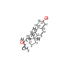 CC(=O)[C@H]1CC[C@H]2[C@@H]3C=CC4=CC(=O)CCC4[C@@H]3CC[C@]12C